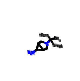 CCCCCCCC(C)(CCCCC)N1CC2C(N)C2C1